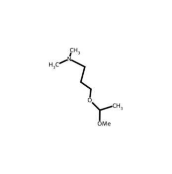 COC(C)OCCCN(C)C